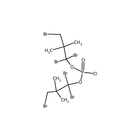 CC(C)(CBr)C(Br)(Br)OP(=O)(Cl)OC(Br)(Br)C(C)(C)CBr